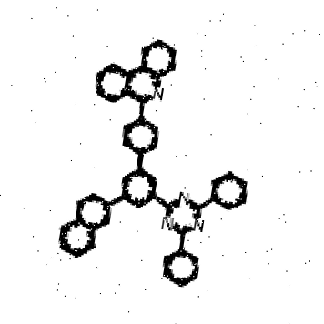 c1ccc(-c2nc(-c3ccccc3)nc(-c3cc(-c4ccc(-c5nc6ccccc6c6ccccc56)cc4)cc(-c4ccc5ccccc5c4)c3)n2)cc1